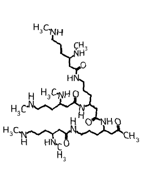 CNCCCC(CC(=O)NCCCC(CC(C)=O)NC(=O)CC(CCCNC(=O)CC(CCCNC)NC)NC(=O)CC(CCCNC)NC)NC